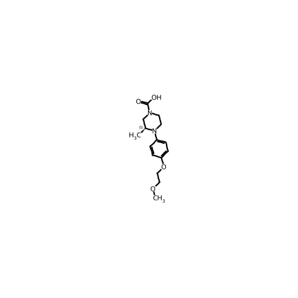 COCCOc1ccc(N2CCN(C(=O)O)C[C@@H]2C)cc1